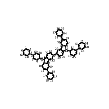 c1ccc(-c2ccc(-n3c4ccc(-c5ccccc5)cc4c4cc(-c5ccc6c(c5)c5cc(-c7ccccc7)ccc5n6-c5cccc(-c6ccccc6)c5)ccc43)cc2)cc1